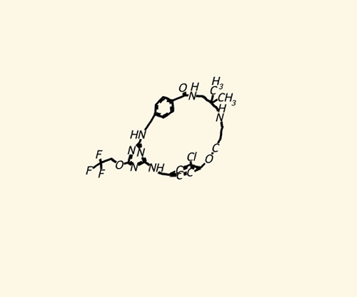 CC1(C)CNCCCOc2ccc(cc2Cl)CNc2nc(nc(OCC(F)(F)F)n2)Nc2ccc(cc2)C(=O)NC1